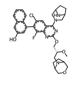 CO[C@@H](COc1nc(N2CC3CCC(C2)N3)c2cc(Cl)c(-c3cc(O)cc4ccccc34)c(F)c2n1)CN1C2CCC1COC2